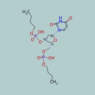 CCCCOP(=O)(O)OC[C@H]1O[C@@H](n2ccc(=O)[nH]c2=O)C[C@H]1OP(=O)(O)OCCCC